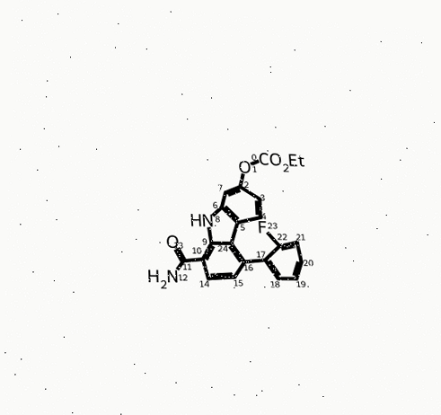 CCOC(=O)Oc1ccc2c(c1)[nH]c1c(C(N)=O)ccc(-c3ccccc3F)c12